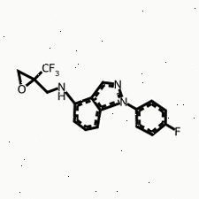 Fc1ccc(-n2ncc3c(NCC4(C(F)(F)F)CO4)cccc32)cc1